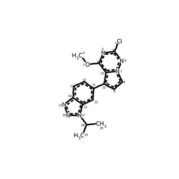 COc1nc(Cl)nn2ccc(-c3ccc4nnn(C(C)C)c4c3)c12